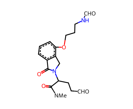 CNC(=O)C(CCC=O)N1Cc2c(OCCCNC=O)cccc2C1=O